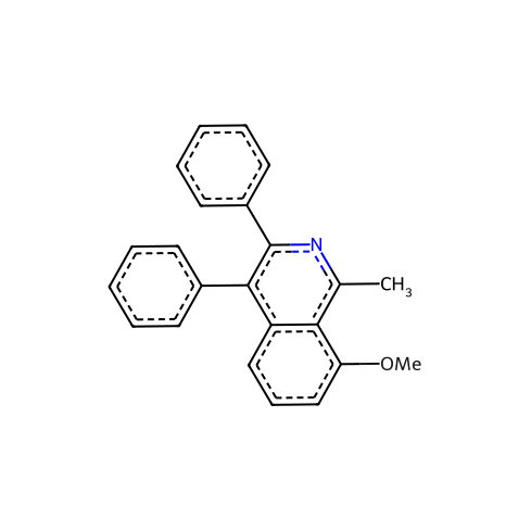 COc1cccc2c(-c3ccccc3)c(-c3ccccc3)nc(C)c12